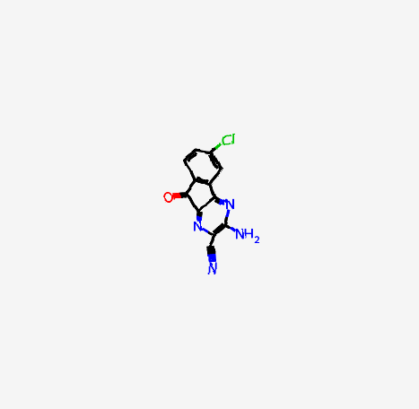 N#Cc1nc2c(nc1N)-c1cc(Cl)ccc1C2=O